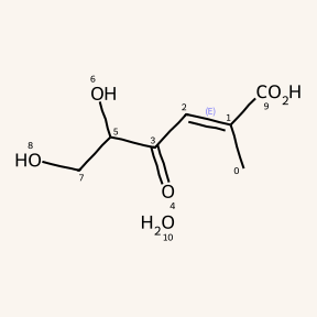 C/C(=C\C(=O)C(O)CO)C(=O)O.O